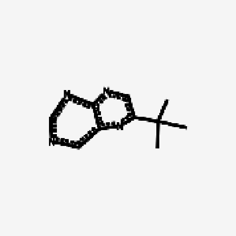 CC(C)(C)c1cnc2ncncc2n1